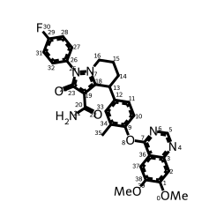 COc1cc2ncnc(Oc3ccc(C4CCCn5c4c(C(N)=O)c(=O)n5-c4ccc(F)cc4)cc3C)c2cc1OC